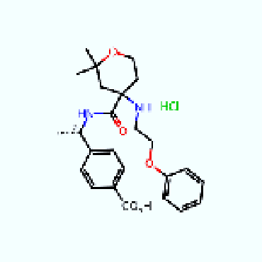 C[C@H](NC(=O)C1(NCCOc2ccccc2)CCOC(C)(C)C1)c1ccc(C(=O)O)cc1.Cl